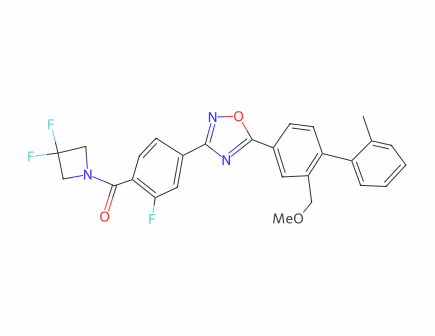 COCc1cc(-c2nc(-c3ccc(C(=O)N4CC(F)(F)C4)c(F)c3)no2)ccc1-c1ccccc1C